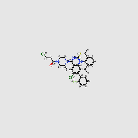 CCc1cccc(CC)c1-n1c(=S)nc(N2CCN(C(=O)CCCl)CC2C)c2cc(Cl)c(-c3ccccc3F)cc21